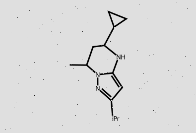 CC(C)c1cc2n(n1)C(C)CC(C1CC1)N2